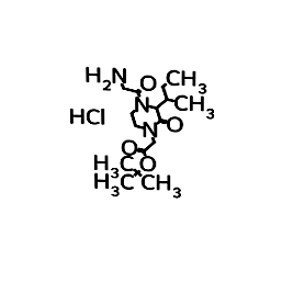 CCC(C)C1C(=O)N(CC(=O)OC(C)(C)C)CCN1C(=O)CN.Cl